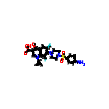 Nc1ccc(S(=O)(=O)N2CCN(c3c(F)cc4c(=O)c(C(=O)O)cn(C5CC5)c4c3F)CC2)cc1